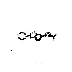 O=C(Cn1ccc(-c2nnc(C(F)F)o2)cc1=O)N1CCCOCC1